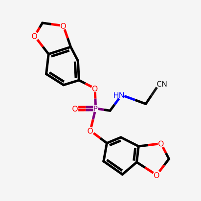 N#CCNCP(=O)(Oc1ccc2c(c1)OCO2)Oc1ccc2c(c1)OCO2